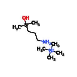 C[N+](C)(C)C.C[Si](C)(O)CCCN